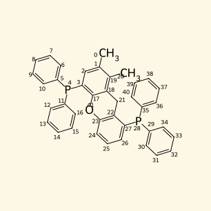 Cc1cc(P(c2ccccc2)c2ccccc2)c2c(c1C)Cc1c(cccc1P(c1ccccc1)c1ccccc1)O2